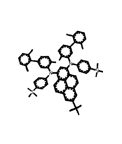 Cc1ccc(-c2c(C)cccc2C)cc1N(c1ccc([Si](C)(C)C)cc1)c1cc(N(c2ccc(S(C)(C)C)cc2)c2cc(-c3c(C)cccc3C)ccc2C)c2ccc3cc(C(C)(C)C)cc4ccc1c2c43